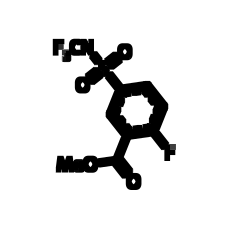 COC(=O)c1cc(S(=O)(=O)NC(F)(F)F)ccc1F